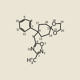 Cc1noc(CC2(c3ccccc3)CCC3(CC2)OCCO3)n1